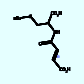 CCCCSCC(NC(=O)/C=C/C(=O)O)C(=O)O